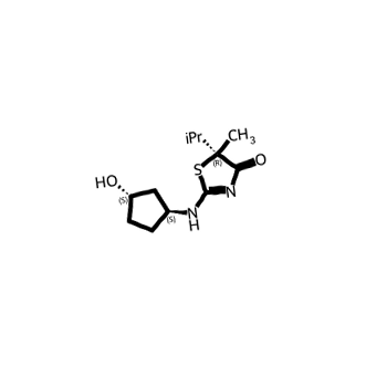 CC(C)[C@@]1(C)SC(N[C@H]2CC[C@H](O)C2)=NC1=O